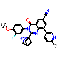 COc1ccc(-n2c(C34CC(CN3)C4)nc3c(-c4ccc(C)nc4)cc(C#N)cc3c2=O)cc1F